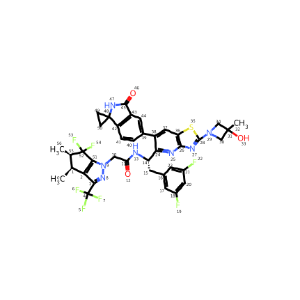 C[C@@H]1c2c(C(F)(F)F)nn(CC(=O)N[C@@H](Cc3cc(F)cc(F)c3)c3nc4nc(N5CC(C)(O)C5)sc4cc3-c3ccc4c(c3)C(=O)NC43CC3)c2C(F)(F)[C@@H]1C